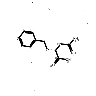 N=C(N)N[C@@H](CCc1ccccc1)C(=O)O